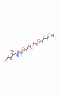 CCCCOCCOCCOCCNC(=O)CCI